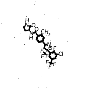 Cc1cc(C2=NO[C@](c3cc(C(F)(F)F)cc(Cl)c3F)(C(F)(F)F)C2)ccc1C(=O)N[C@@H]1CCNC1=O